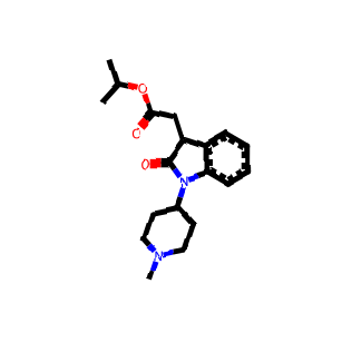 CC(C)OC(=O)CC1C(=O)N(C2CCN(C)CC2)c2ccccc21